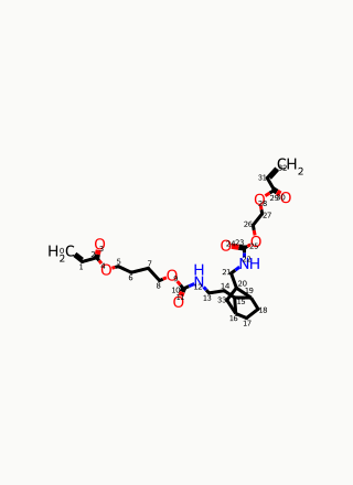 C=CC(=O)OCCCCOC(=O)NCCC1C2CCC1C(CNC(=O)OCCOC(=O)C=C)C2